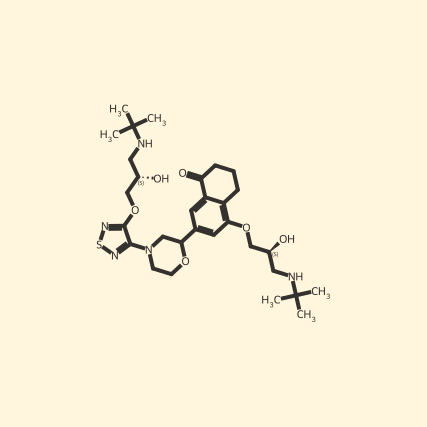 CC(C)(C)NC[C@H](O)COc1cc(C2CN(c3nsnc3OC[C@@H](O)CNC(C)(C)C)CCO2)cc2c1CCCC2=O